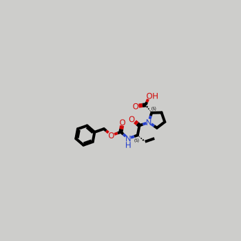 CC[C@H](NC(=O)OCc1ccccc1)C(=O)N1CCC[C@H]1C(=O)O